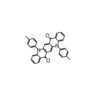 Cc1ccc(-n2c3ccccc3c(=O)c3cc4c(cc32)c(=O)c2ccccc2n4-c2ccc(C)cc2)cc1